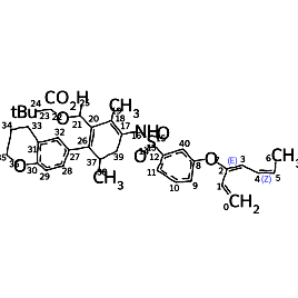 C=C/C(=C\C=C/C)Oc1cccc(S(=O)(=O)NC2=C(C)C(C(OCC(C)(C)C)C(=O)O)=C(c3ccc4c(c3)CCCO4)C(C)C2)c1